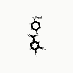 CCCCC[C@H]1CC[C@H](OC(=O)c2ccc(F)c(F)c2)CC1